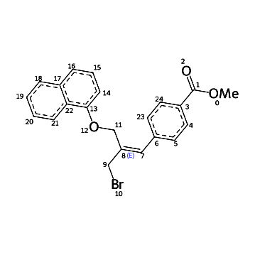 COC(=O)c1ccc(/C=C(/CBr)COc2cccc3ccccc23)cc1